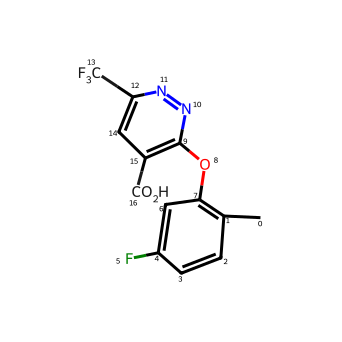 Cc1ccc(F)cc1Oc1nnc(C(F)(F)F)cc1C(=O)O